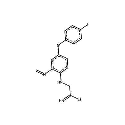 C=Nc1cc(Sc2ccc(F)cc2)ccc1NCC(=N)CC